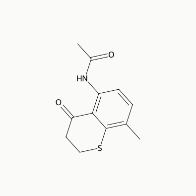 CC(=O)Nc1ccc(C)c2c1C(=O)CCS2